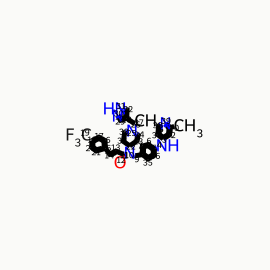 Cc1cc(Nc2ccc(CN(C(=O)C=Cc3ccc(C(F)(F)F)cc3)C3CCN(C(C)c4cn[nH]c4)CC3)cc2)ccn1